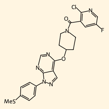 CSc1ccc(-n2ncc3c(OC4CCN(C(=O)c5cc(F)cnc5Cl)CC4)ncnc32)cc1